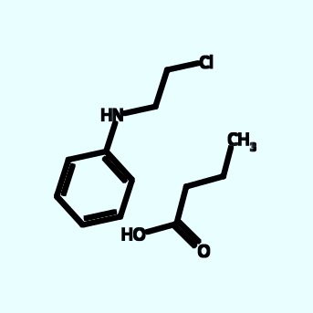 CCCC(=O)O.ClCCNc1ccccc1